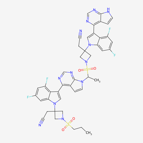 CCCS(=O)(=O)N1CC(CC#N)(n2cc(-c3ncnc4c3ccn4C(C)S(=O)(=O)N3CC(CC#N)(n4cc(-c5ncnc6[nH]ccc56)c5c(F)cc(F)cc54)C3)c3c(F)cc(F)cc32)C1